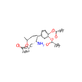 CCCCC(=O)OC(C)CC(c1ccc(OC(=O)CCC)c(OC(=O)CCC)c1)[C@H](N)C(=O)O